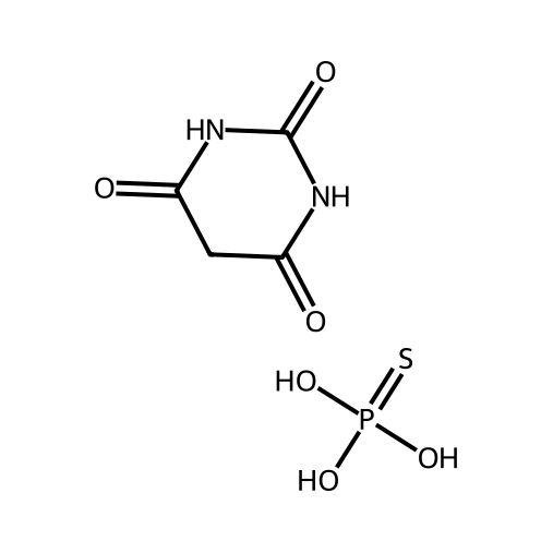 O=C1CC(=O)NC(=O)N1.OP(O)(O)=S